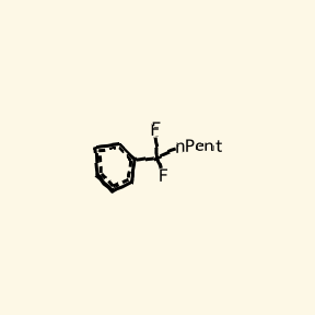 CCCCCC(F)(F)c1ccccc1